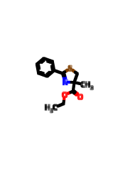 CCOC(=O)C1(C)CSC(c2ccccc2)=N1